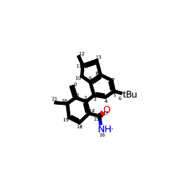 C=C1C(c2cc(C(C)(C)C)cc3c2CC(C)=C3)=C(C([NH])=O)C=CC1C